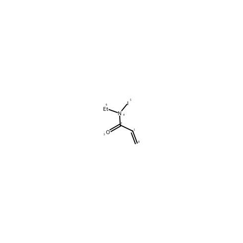 C=CC(=O)N(I)CC